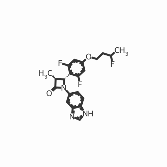 CC(F)CCOc1cc(F)c([C@H]2[C@H](C)C(=O)N2c2ccc3[nH]cnc3c2)c(F)c1